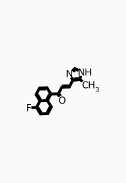 Cc1[nH]cnc1/C=C/C(=O)c1cccc2c(F)cccc12